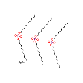 CCCCCCCCCCOP(=O)([O-])OCCCCCCCCCC.CCCCCCCCCCOP(=O)([O-])OCCCCCCCCCC.CCCCCCCCCCOP(=O)([O-])OCCCCCCCCCC.[Fe+3]